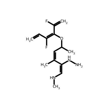 C=C/C(F)=C(/OC(C)/C=C(C)\C(=C/NC)NN)C(=C)F